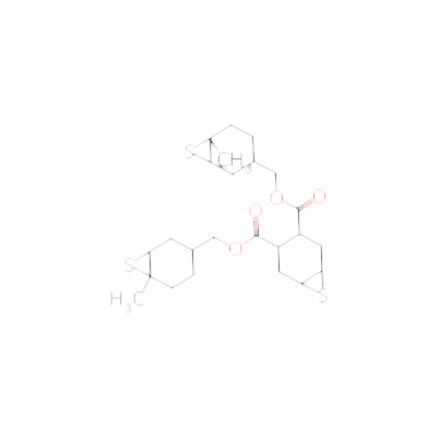 CC12CCC(COC(=O)C3CC4SC4CC3C(=O)OCC3CCC4(C)SC4C3)CC1S2